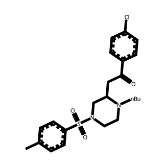 CCCCN1CCN(S(=O)(=O)c2ccc(C)cc2)CC1CC(=O)c1ccc(Cl)cc1